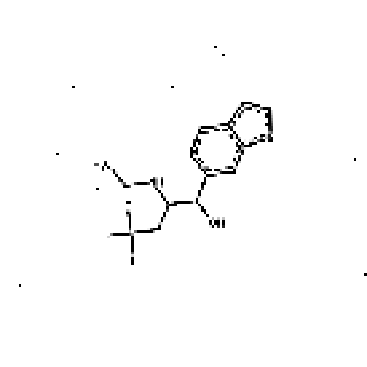 CCNC(CC(F)(F)F)C(O)c1ccc2ccsc2c1